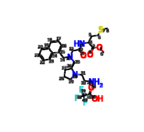 COC(=O)C(CCSC)NC(=O)CN(Cc1cccc2ccccc12)C[C@@H]1CCCN1CCN.O=C(O)C(F)(F)F